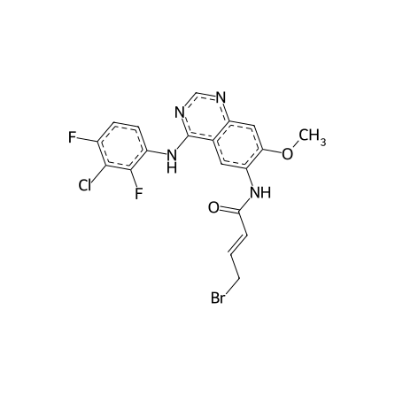 COc1cc2ncnc(Nc3ccc(F)c(Cl)c3F)c2cc1NC(=O)C=CCBr